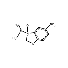 CN(C)[N+]1([O-])CSc2ccc([N+](=O)[O-])cc21